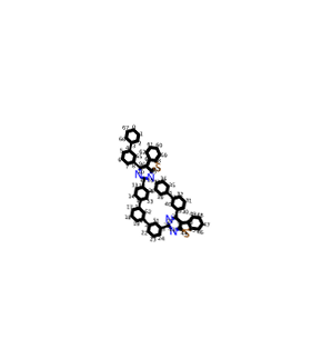 c1ccc(-c2cccc(-c3nc(-c4ccc(-c5cccc(-c6cccc(-c7nc(-c8cccc(-c9ccccc9)c8)c8c(n7)sc7ccccc78)c6)c5)cc4)nc4sc5ccccc5c34)c2)cc1